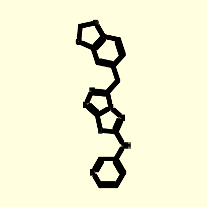 c1cncc(Nc2nn3c(Cc4ccc5c(c4)OCO5)nnc3s2)c1